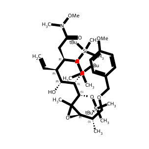 C=C[C@H]([C@@H](O)[C@H](CO[Si](C)(C)C(C)(C)C)[C@H](O[Si](C)(C)C(C)(C)C)C1(C)O[C@@H]1[C@@H](C)COCc1ccc(OC)cc1)[C@@H](CC(=O)N(C)OC)O[Si](C)(C)C(C)(C)C